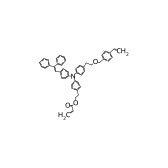 C=CC(=O)OCCc1ccc(N(c2ccc(C=C(c3ccccc3)c3ccccc3)cc2)c2ccc(CCOCc3ccc(C=C)cc3)cc2)cc1